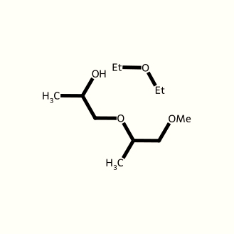 CCOCC.COCC(C)OCC(C)O